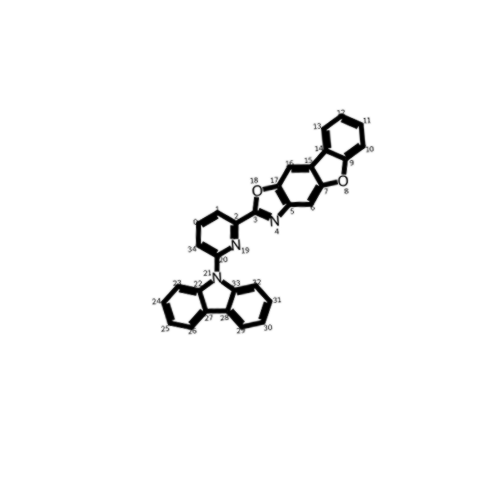 c1cc(-c2nc3cc4oc5ccccc5c4cc3o2)nc(-n2c3ccccc3c3ccccc32)c1